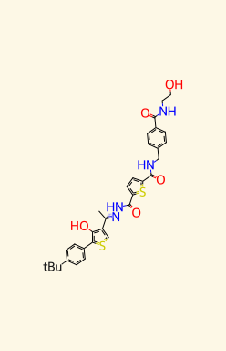 C/C(=N\NC(=O)c1ccc(C(=O)NCc2ccc(C(=O)NCCO)cc2)s1)c1csc(-c2ccc(C(C)(C)C)cc2)c1O